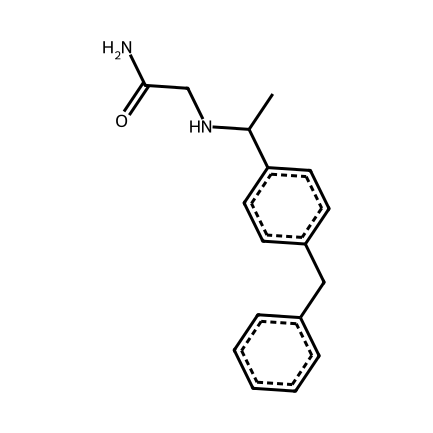 CC(NCC(N)=O)c1ccc(Cc2ccccc2)cc1